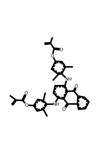 C=C(C)C(=O)Oc1cc(C)c(Nc2ccc(Nc3c(C)cc(OC(=O)C(=C)C)cc3C)c3c2C(=O)c2ccccc2C3=O)c(C)c1